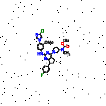 COc1cc(Nc2nc3c(c(N4CCC(N(C)C(=O)OC(C)(C)C)C4)n2)CCC3c2ccc(F)cc2)ccc1-n1cnc(Cl)c1